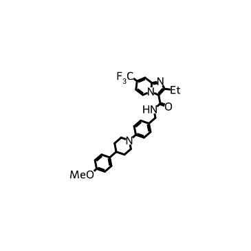 CCc1nc2cc(C(F)(F)F)ccn2c1C(=O)NCc1ccc(N2CCC(c3ccc(OC)cc3)CC2)cc1